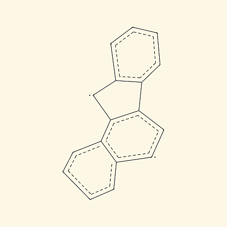 [c]1cc2c(c3ccccc13)[CH]c1ccccc1-2